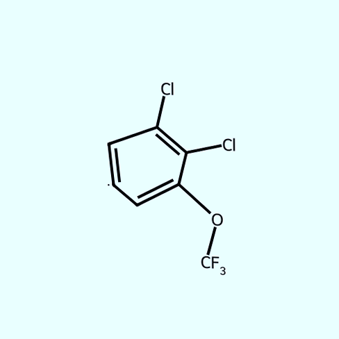 FC(F)(F)Oc1c[c]cc(Cl)c1Cl